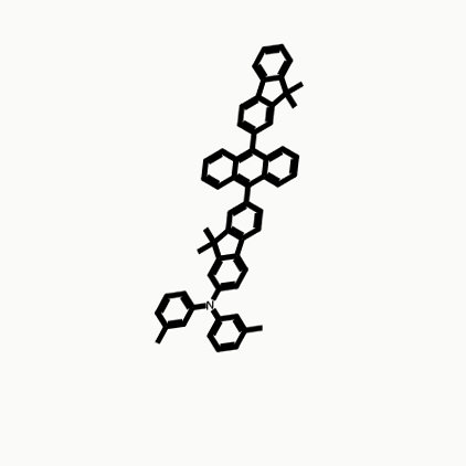 Cc1cccc(N(c2cccc(C)c2)c2ccc3c(c2)C(C)(C)c2cc(-c4c5ccccc5c(-c5ccc6c(c5)C(C)(C)c5ccccc5-6)c5ccccc45)ccc2-3)c1